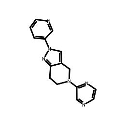 c1cncc(-n2cc3c(n2)CCN(c2cnccn2)C3)c1